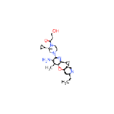 C=Cc1cc(Oc2c(C3CC3)nc(N3CCN(C(=O)CCO)[C@H](C4CC4)C3)c(N)c2C)ccn1